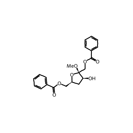 CO[C@]1(COC(=O)c2ccccc2)O[C@H](COC(=O)c2ccccc2)C[C@@H]1O